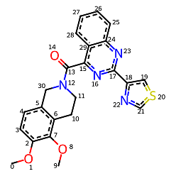 COc1ccc2c(c1OC)CCN(C(=O)c1nc(-c3cscn3)nc3ccccc13)C2